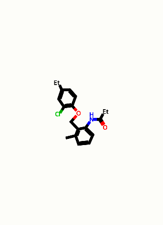 CCC(=O)Nc1cccc(C)c1COc1ccc(CC)cc1Cl